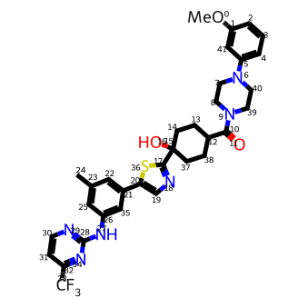 COc1cccc(N2CCN(C(=O)C3CCC(O)(c4ncc(-c5cc(C)cc(Nc6nccc(C(F)(F)F)n6)c5)s4)CC3)CC2)c1